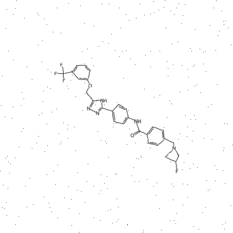 O=C(Nc1ccc(-c2nnc(COc3cccc(C(F)(F)F)c3)[nH]2)cc1)c1ccc(CN2CC(F)C2)cc1